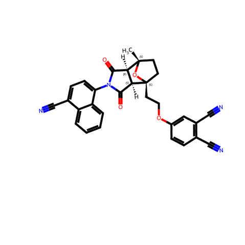 C[C@@]12CC[C@@](CCOc3ccc(C#N)c(C#N)c3)(O1)[C@H]1C(=O)N(c3ccc(C#N)c4ccccc34)C(=O)[C@H]12